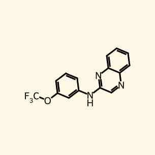 FC(F)(F)Oc1cccc(Nc2cnc3ccccc3n2)c1